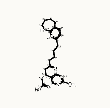 Cc1ncc([C@H](CC(=O)O)CC(=O)CCCCc2ccc3c(n2)NCCCC3)cn1